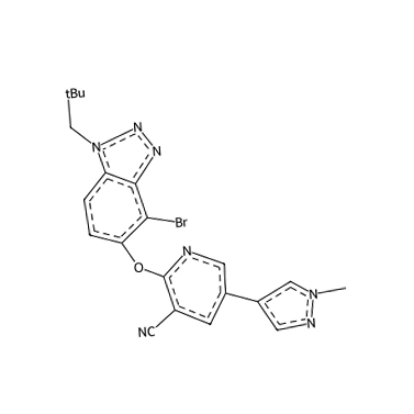 Cn1cc(-c2cnc(Oc3ccc4c(nnn4CC(C)(C)C)c3Br)c(C#N)c2)cn1